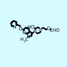 Cn1cc(N2CCN(CCOC=O)CC2O)c2ccc(OCc3ccccn3)nc21